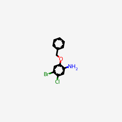 Nc1cc(Cl)c(Br)cc1OCc1ccccc1